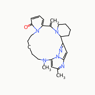 C=C1c2cccc(=O)n2CCCCCN(C)c2cc(C)nc3cc(nn23)C2CCCCN12